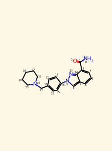 NC(=O)c1cccc2cn(-c3ccc(CN4CCCCC4)cc3)nc12